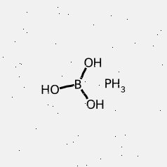 OB(O)O.P